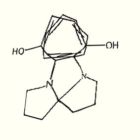 Oc1ccccc1N1CCCC12CCCN2c1ccccc1O